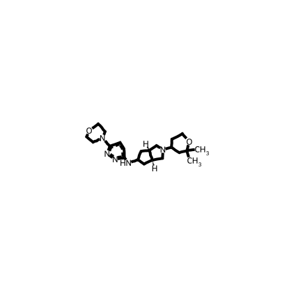 CC1(C)CC(N2C[C@H]3CC(Nc4ccc(N5CCOCC5)nn4)C[C@H]3C2)CCO1